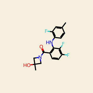 Cc1ccc(Nc2c(C(=O)N3CC(C)(O)C3)ccc(F)c2F)c(F)c1